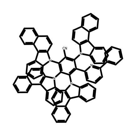 N#Cc1c(-n2c3ccccc3c3c4ccccc4ccc32)c(-c2cccc(-c3ccccc3)n2)c(-n2c3ccccc3c3c4ccccc4ccc32)c(-n2c3ccccc3c3c4ccccc4ccc32)c1-n1c2ccccc2c2c3ccccc3ccc21